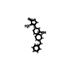 CC1=C(N2CCC3(CCN(Cc4ccccc4)CC3)C(O)C2)COC1=O